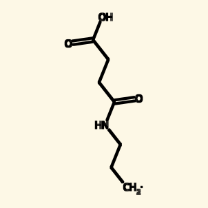 [CH2]CCNC(=O)CCC(=O)O